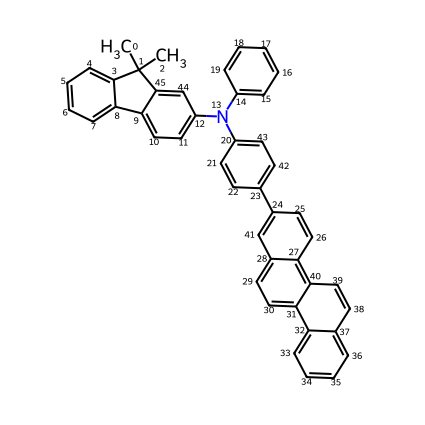 CC1(C)c2ccccc2-c2ccc(N(c3ccccc3)c3ccc(-c4ccc5c(ccc6c7ccccc7ccc56)c4)cc3)cc21